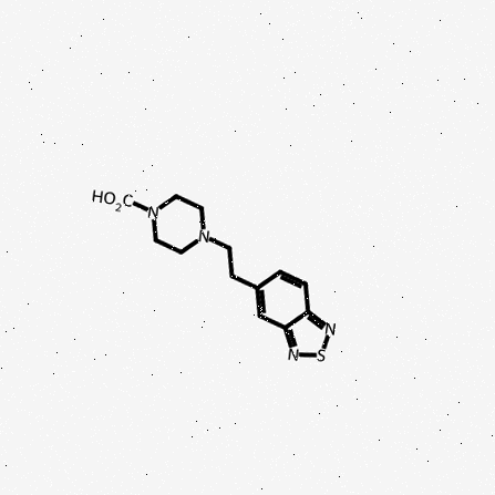 O=C(O)N1CCN(CCc2ccc3nsnc3c2)CC1